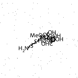 CON(CCCSCCSCCN)[C@@H]1OC(CO)[C@@H](O[C@@H]2OC(C=O)CC(O)C2O)C(O)C1O